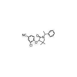 CC(c1ccccc1)N1CC(C)(C)C(Oc2ccc(C#N)cc2Cl)C1=O